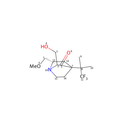 COC[C@]1(CO)C(=O)C2(C(C)(C)C(F)(F)F)CCN1CC2